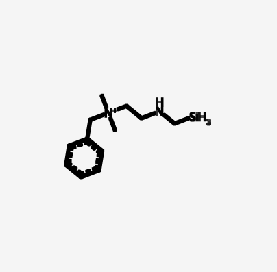 C[N+](C)(CCNC[SiH3])Cc1ccccc1